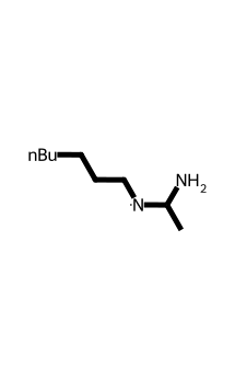 CCCCCCC[N]C(C)N